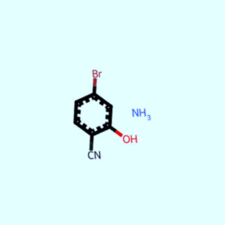 N.N#Cc1ccc(Br)cc1O